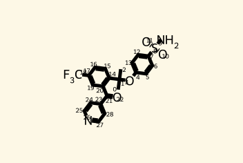 CC(C)(Oc1ccc(S(N)(=O)=O)cc1)c1ccc(C(F)(F)F)cc1C(=O)c1ccncc1